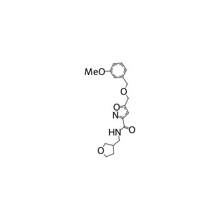 COc1cccc(COCc2cc(C(=O)NCC3CCOC3)no2)c1